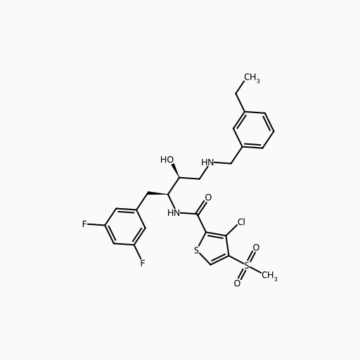 CCc1cccc(CNC[C@H](O)[C@H](Cc2cc(F)cc(F)c2)NC(=O)c2scc(S(C)(=O)=O)c2Cl)c1